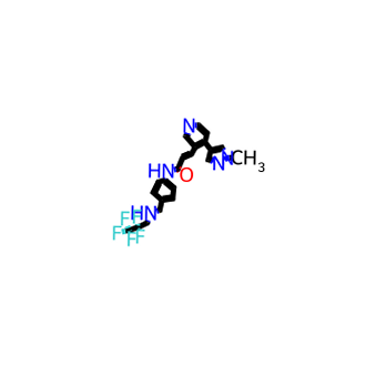 Cn1cc(-c2ccncc2C=CC(=O)Nc2ccc(CNCC(F)(F)C(F)(F)F)cc2)cn1